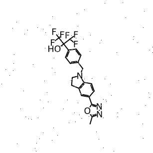 Cc1nnc(-c2ccc3c(c2)CCN3Cc2ccc(C(O)(C(F)(F)F)C(F)(F)F)cc2)o1